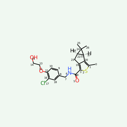 Cc1sc(C(=O)NCc2ccc(OCCO)c(Cl)c2)c2c1[C@H]1[C@@H](C2)C1(C)C